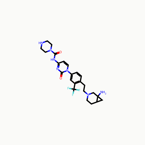 NC12CC1CCN(CCc1ccc(-n3ccc(NC(=O)N4CCNCC4)nc3=O)cc1C(F)(F)F)C2